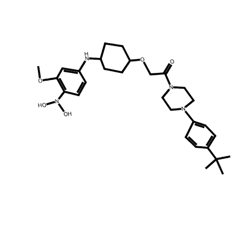 COc1cc(NC2CCC(OCC(=O)N3CCN(c4ccc(C(C)(C)C)cc4)CC3)CC2)ccc1N(O)O